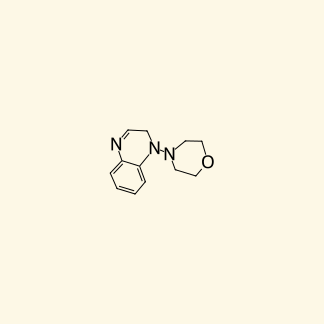 C1=Nc2ccccc2N(N2CCOCC2)C1